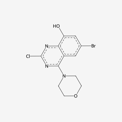 Oc1cc(Br)cc2c(N3CCOCC3)nc(Cl)nc12